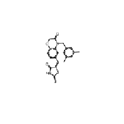 Cc1cc(C)cc(CN2C(=O)COc3ccc(C=C4SC(=S)NC4=O)cc32)c1